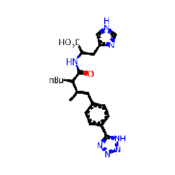 CCCCC(C(=O)NC(Cc1c[nH]cn1)C(=O)O)C(C)Cc1ccc(-c2nnn[nH]2)cc1